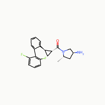 C[C@H]1C[C@H](N)CN1C(=O)[C@@H]1C[C@H]1c1ccccc1-c1c(F)cccc1F